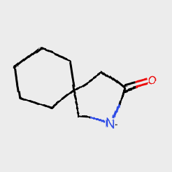 O=C1CC2(CCCCC2)C[N]1